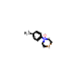 [O-][N+]1(c2[c]cc(C(F)(F)F)cc2)CCSCC1